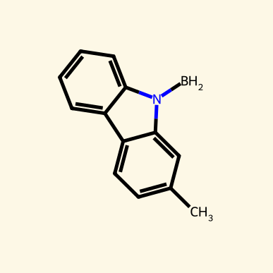 Bn1c2ccccc2c2ccc(C)cc21